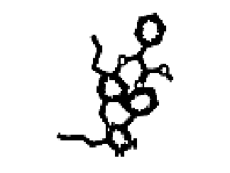 CCCCc1nnc(-c2ccccc2)n1Cc1ccc(OC(C(=O)OC)c2ccccc2)c(CCC)c1